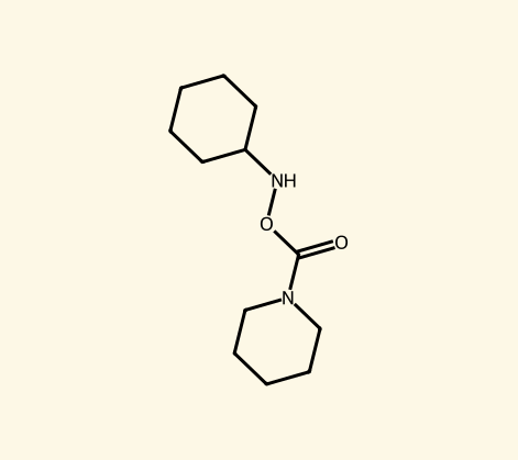 O=C(ONC1CCCCC1)N1CCCCC1